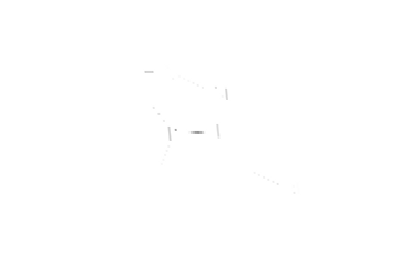 CO.CO.FB(F)F